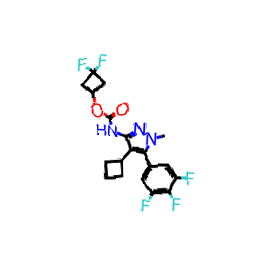 Cn1nc(NC(=O)OC2CC(F)(F)C2)c(C2CCC2)c1-c1cc(F)c(F)c(F)c1